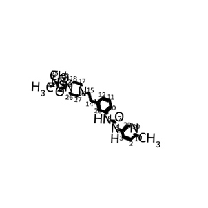 Cc1ccc(NC(=O)Nc2cccc(CCN3CCN(S(=O)(=O)N(C)C)CC3)c2)cn1